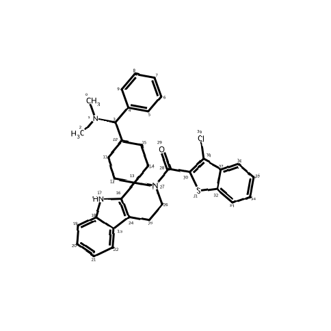 CN(C)C(c1ccccc1)C1CCC2(CC1)c1[nH]c3ccccc3c1CCN2C(=O)c1sc2ccccc2c1Cl